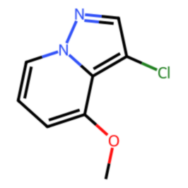 COc1cccn2ncc(Cl)c12